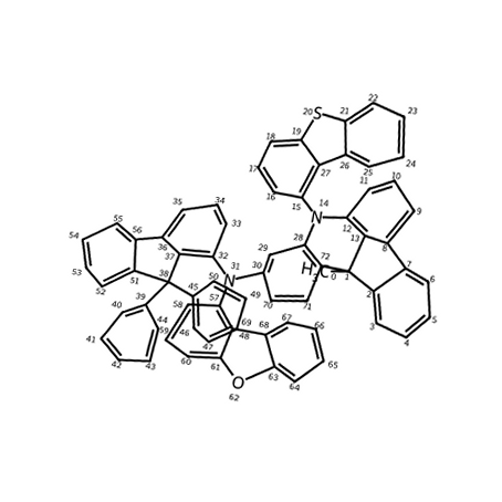 CC12c3ccccc3-c3cccc(c31)N(c1cccc3sc4ccccc4c13)c1cc(N(c3cccc4c3C(c3ccccc3)(c3ccccc3)c3ccccc3-4)c3cccc4oc5ccccc5c34)ccc12